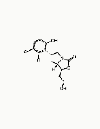 O=C1O[C@@H](CCO)[C@@H]2C[C@H](c3c(O)ccc(Cl)c3Cl)CN12